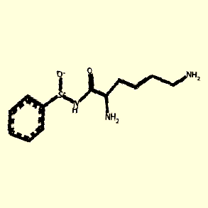 NCCCCC(N)C(=O)N[S+]([O-])c1ccccc1